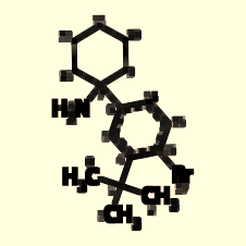 CC(C)(C)c1cc(C2(N)CCCCC2)ccc1Br